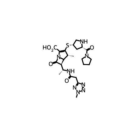 C[C@H]1C(S[C@@H]2CN[C@H](C(=O)N3CCCC3)C2)=C(C(=O)O)N2C(=O)[C@H]([C@@H](C)NC(=O)Cc3nnn(C)n3)C12